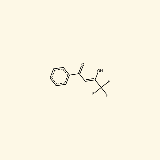 O=C(C=C(O)C(F)(F)F)c1ccccc1